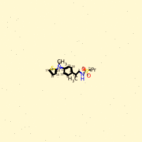 CC(CNS(=O)(=O)C(C)C)c1ccc(N(C)c2cccs2)cc1